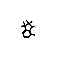 Cc1cccc2c1C(=O)C(C)(C)C2(C)C